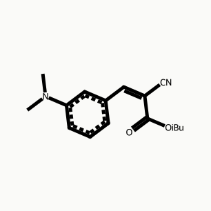 CC(C)COC(=O)C(C#N)=Cc1cccc(N(C)C)c1